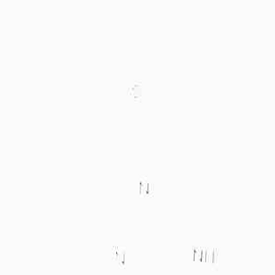 C=Cc1ccc(-c2ccnc(N)n2)s1